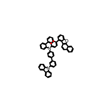 c1ccc(-c2ccccc2N(c2ccc(-c3cccc(-n4c5ccccc5c5ccccc54)c3)cc2)c2ccc(-c3cccc4oc5c6ccccc6ccc5c34)cc2)cc1